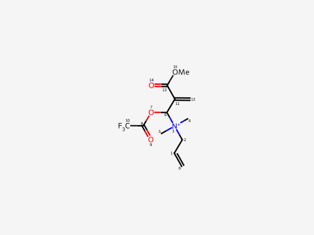 C=CC[N+](C)(C)C(OC(=O)C(F)(F)F)C(=C)C(=O)OC